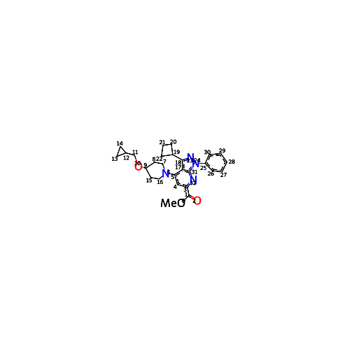 COC(=O)c1cc(N2CCC(OCC3CC3)CC2)c2c(C3CCC3)nn(-c3ccccc3)c2n1